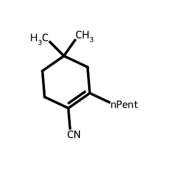 CCCCCC1=C(C#N)CCC(C)(C)C1